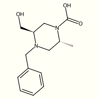 C[C@@H]1CN(Cc2ccccc2)[C@@H](CO)CN1C(=O)O